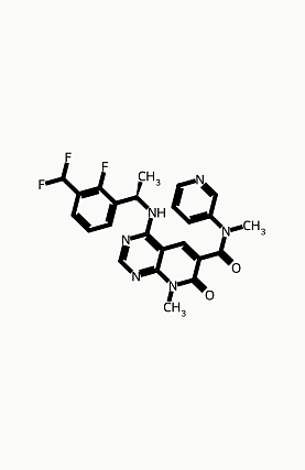 C[C@@H](Nc1ncnc2c1cc(C(=O)N(C)c1cccnc1)c(=O)n2C)c1cccc(C(F)F)c1F